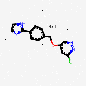 Clc1cc(OCc2ccc(-c3ncc[nH]3)cc2)cnn1.[NaH]